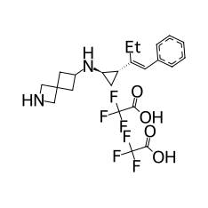 CC/C(=C\c1ccccc1)[C@@H]1C[C@H]1NC1CC2(CNC2)C1.O=C(O)C(F)(F)F.O=C(O)C(F)(F)F